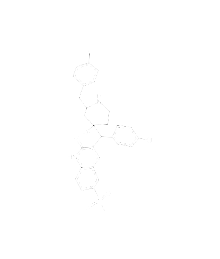 CS(=O)(=O)c1ccc2[nH]c(=O)c(C(c3ccc(Cl)cc3)C3(O)CCNC(Cc4ccc(F)cc4)C3)cc2c1